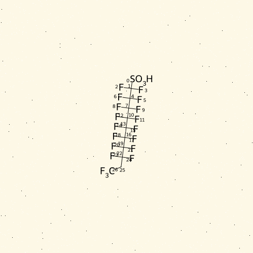 O=S(=O)(O)C(F)(F)C(F)(F)C(F)(F)C(F)(F)C(F)(F)C(F)(F)C(F)(F)C(F)(F)CC(F)(F)F